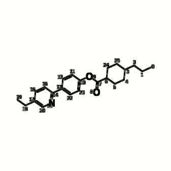 CCCC1CCC(C(=O)Oc2ccc(-c3ccc(CC)cn3)cc2)CC1